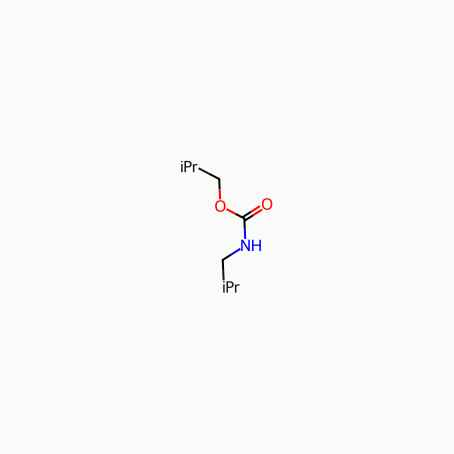 CC(C)CNC(=O)OCC(C)C